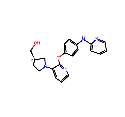 OC[C@@H]1CCN(c2cccnc2Oc2ccc(Nc3ccccn3)cc2)C1